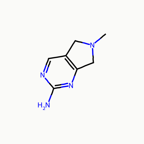 CN1Cc2cnc(N)nc2C1